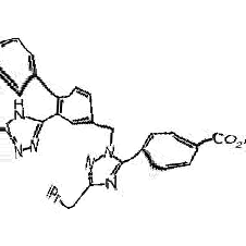 CC(C)Cc1nc(-c2ccc(C(=O)O)cc2)n(Cc2ccc(-c3ccccc3)c(-c3nnn[nH]3)c2)n1